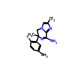 Bc1ccc(F)c(C2(C)Cn3cc(C(F)(F)F)nc3C(N)=N2)c1